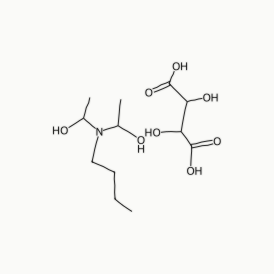 CCCCN(C(C)O)C(C)O.O=C(O)C(O)C(O)C(=O)O